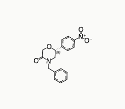 O=C1CO[C@H](c2ccc([N+](=O)[O-])cc2)CN1Cc1ccccc1